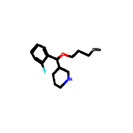 COCCCOC(c1ccccc1F)C1CCCNC1